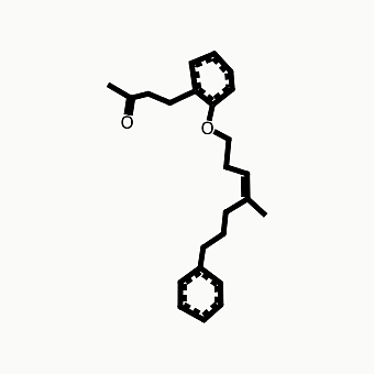 CC(=O)CCc1ccccc1OCCC=C(C)CCCc1ccccc1